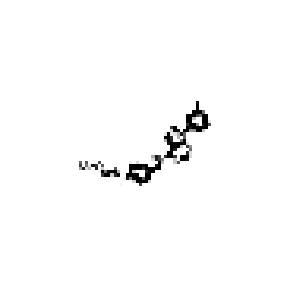 COCCOc1ccc(CNc2ncnc3c2cnn3-c2cccc(C)c2)cc1